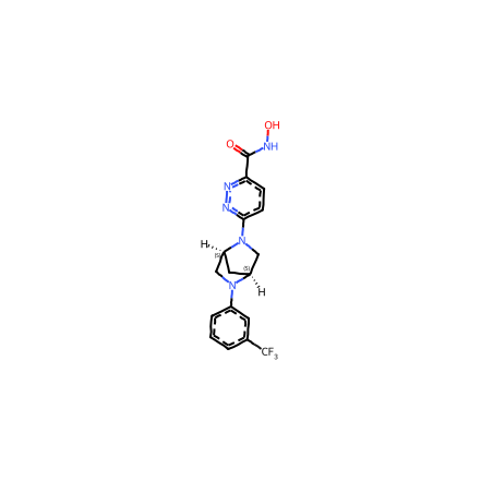 O=C(NO)c1ccc(N2C[C@@H]3C[C@H]2CN3c2cccc(C(F)(F)F)c2)nn1